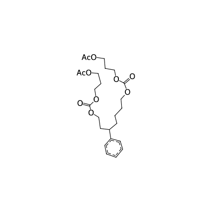 CC(=O)OCCCOC(=O)OCCCCC(CCOC(=O)OCCCOC(C)=O)c1ccccc1